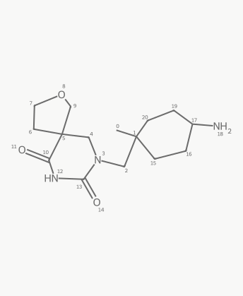 CC1(CN2CC3(CCOC3)C(=O)NC2=O)CCC(N)CC1